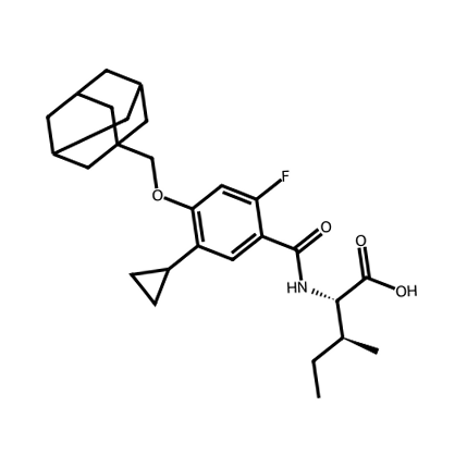 CC[C@H](C)[C@H](NC(=O)c1cc(C2CC2)c(OCC23CC4CC(CC(C4)C2)C3)cc1F)C(=O)O